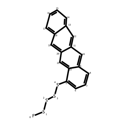 FSSSSc1cccc2cc3cc4ccccc4cc3cc12